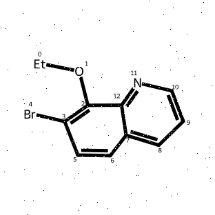 CCOc1c(Br)ccc2cccnc12